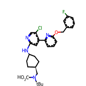 CC(C)(C)N(C[C@H]1CC[C@H](Nc2cc(-c3cccc(OCc4cccc(F)c4)n3)c(Cl)cn2)CC1)C(=O)O